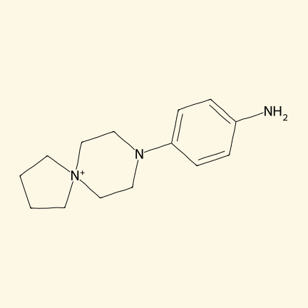 Nc1ccc(N2CC[N+]3(CCCC3)CC2)cc1